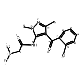 CCN(CC)CC(=O)Nc1c(C(=O)c2ccccc2Cl)c(C)nn1C